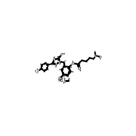 CCN(C)CCCCC(=O)Oc1ccc(Cl)cc1Cn1nc(-c2ccc(C(F)(F)F)cc2)oc1=O.CS(=O)(=O)O